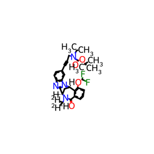 [2H]C([2H])([2H])N1C(=O)c2cccc(OC(F)F)c2[C@H]2C[C@@H]1c1nc3ccc(C#CCN(C(=O)OC(C)(C)C)C(C)C)cc3n12